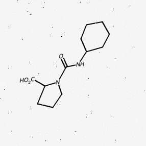 O=C(O)C1CCCN1C(=O)NC1CCCCC1